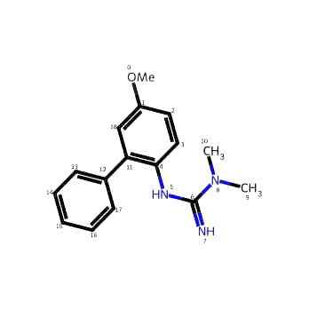 COc1ccc(NC(=N)N(C)C)c(-c2ccccc2)c1